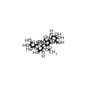 CC(=O)OC1[C@@H](OC2C(CO)OC(O[C@H]3C(CO)O[C@H](O)C(O)[C@@H]3O)C(O)C2O)OC(CO)[C@@H](OC2OC(CO)C(O)C(O)C2O)[C@H]1O